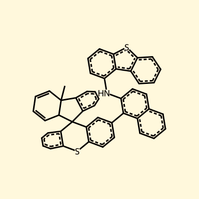 CC12C=CC=CC1C1(c3ccccc3Sc3ccc(-c4c(Nc5cccc6sc7ccccc7c56)ccc5ccccc45)cc31)c1ccccc12